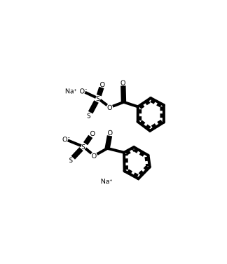 O=C(OS(=O)([O-])=S)c1ccccc1.O=C(OS(=O)([O-])=S)c1ccccc1.[Na+].[Na+]